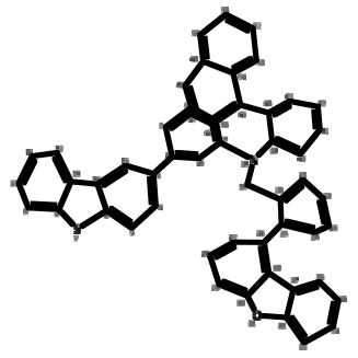 c1cc(-c2ccc3sc4ccccc4c3c2)cc(N(Cc2ccccc2-c2cccc3oc4ccccc4c23)c2ccccc2-c2cccc3ccccc23)c1